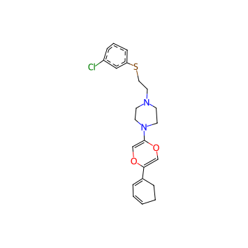 Clc1cccc(SCCN2CCN(C3=COC(C4=CC=CCC4)=CO3)CC2)c1